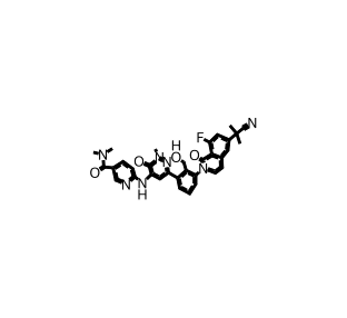 CN(C)C(=O)c1ccc(Nc2cc(-c3cccc(-n4ccc5cc(C(C)(C)C#N)cc(F)c5c4=O)c3CO)nn(C)c2=O)nc1